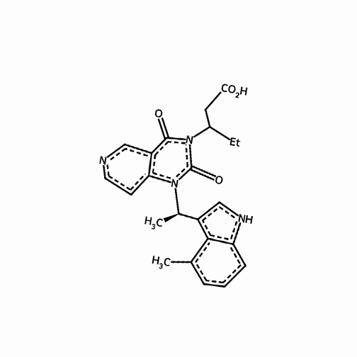 CCC(CC(=O)O)n1c(=O)c2cnccc2n([C@H](C)c2c[nH]c3cccc(C)c23)c1=O